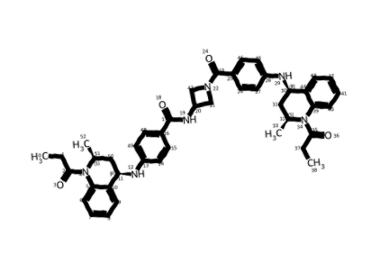 CCC(=O)N1c2ccccc2[C@H](Nc2ccc(C(=O)NC3CN(C(=O)c4ccc(N[C@@H]5C[C@H](C)N(C(=O)CC)c6ccccc65)cc4)C3)cc2)C[C@@H]1C